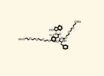 COCCOCCOCCOCCOc1ccc([C@@H](C[C@H](O)[C@H](Cc2ccccc2)NC(=O)OCCOCCOCCOC)C(=O)N(C)[C@H]2c3ccccc3C[C@H]2O)cc1